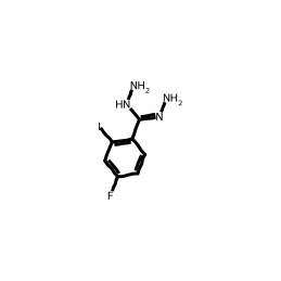 N/N=C(\NN)c1ccc(F)cc1I